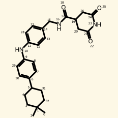 CC1(C)CCC(c2ccc(Nc3ccc(CNC(=O)C4CC(=O)NC(=O)C4)cc3)cc2)CC1